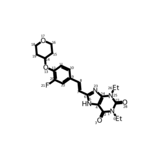 CCn1c(=O)c2[nH]c(C=Cc3ccc(OC4CCOCC4)c(F)c3)nc2n(CC)c1=O